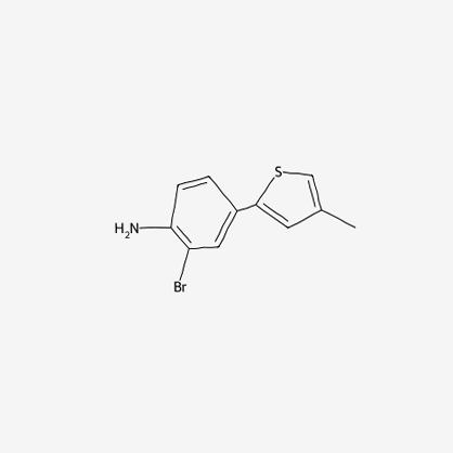 Cc1csc(-c2ccc(N)c(Br)c2)c1